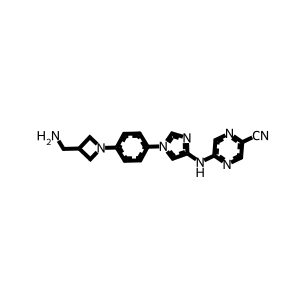 N#Cc1cnc(Nc2cn(-c3ccc(N4CC(CN)C4)cc3)cn2)cn1